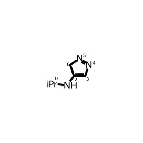 CC(C)NC1=CN=NC1